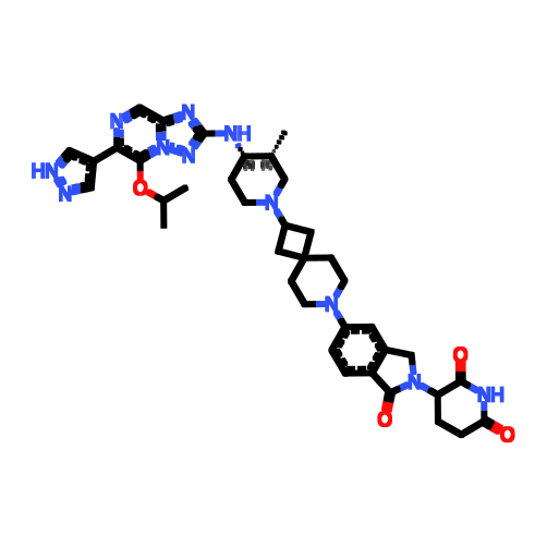 CC(C)Oc1c(-c2cn[nH]c2)ncc2nc(N[C@H]3CCN(C4CC5(CCN(c6ccc7c(c6)CN(C6CCC(=O)NC6=O)C7=O)CC5)C4)C[C@H]3C)nn12